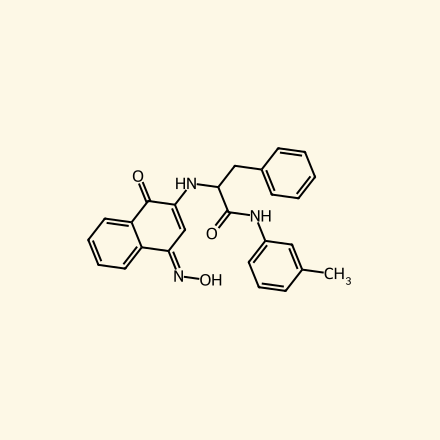 Cc1cccc(NC(=O)C(Cc2ccccc2)NC2=CC(=NO)c3ccccc3C2=O)c1